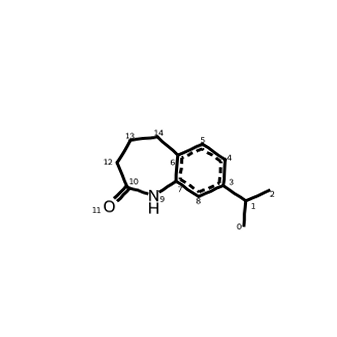 CC(C)c1ccc2c(c1)NC(=O)CCC2